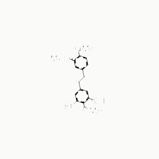 CCc1cc(CCc2ccc(OC)c(OC)c2)cc(C)c1OC